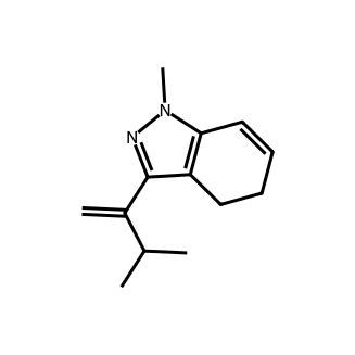 C=C(c1nn(C)c2c1CCC=C2)C(C)C